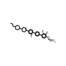 BCOc1ccc(-c2ccc(-c3ccc(C4=CCC(C5CCC(CCC)CC5)CC4)cc3F)cc2)c(F)c1F